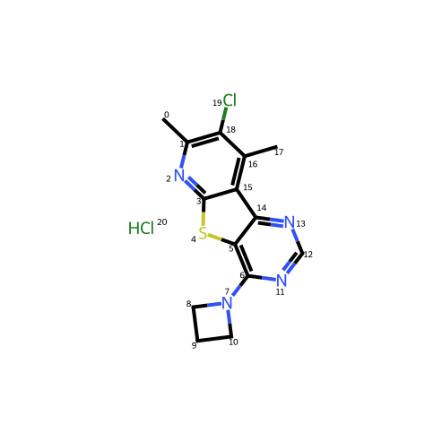 Cc1nc2sc3c(N4CCC4)ncnc3c2c(C)c1Cl.Cl